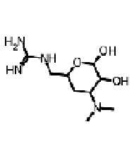 CN(C)C1CC(CNC(=N)N)O[C@@H](O)C1O